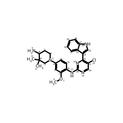 COc1cc(N2CCC(N)C(C)(C)C2)ccc1Nc1ncc(Cl)c(-c2c[nH]c3ccccc23)n1